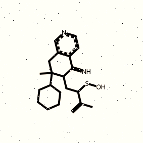 C=C(C)C(CC1C(=N)c2ccncc2CC1(C)C1CCCCC1)SO